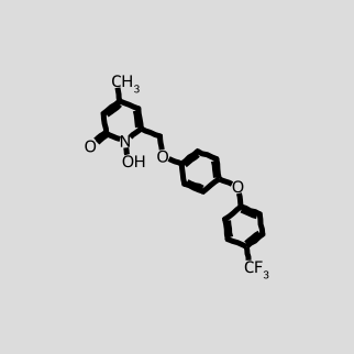 Cc1cc(COc2ccc(Oc3ccc(C(F)(F)F)cc3)cc2)n(O)c(=O)c1